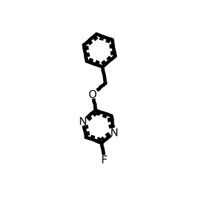 Fc1cnc(OCc2ccccc2)cn1